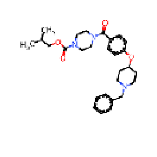 CC(C)COC(=O)N1CCN(C(=O)c2ccc(OC3CCN(Cc4ccccc4)CC3)cc2)CC1